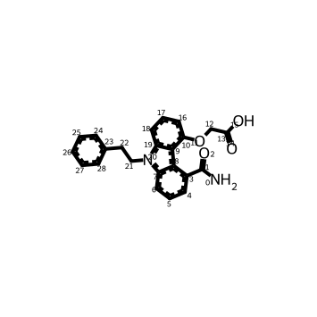 NC(=O)c1cccc2c1c1c(OCC(=O)O)cccc1n2CCc1ccccc1